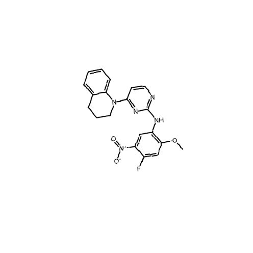 COc1cc(F)c([N+](=O)[O-])cc1Nc1nccc(N2CCCc3ccccc32)n1